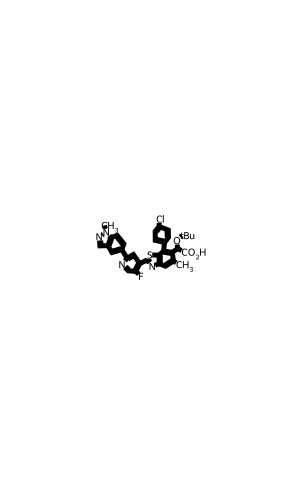 Cc1cc2nc(-c3cc(-c4ccc5c(cnn5C)c4)ncc3F)sc2c(-c2ccc(Cl)cc2)c1C(OC(C)(C)C)C(=O)O